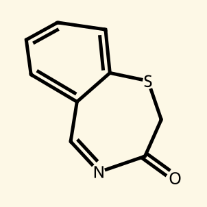 O=C1CSc2ccccc2C=N1